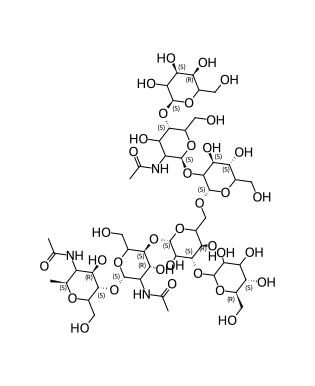 CC(=O)NC1C(O)[C@H](O[C@@H]2OC(CO)[C@H](O)[C@H](O)C2O)C(CO)O[C@H]1OC1[C@@H](OCC2O[C@@H](O[C@@H]3C(CO)O[C@@H](O[C@@H]4C(CO)O[C@@H](C)C(NC(C)=O)[C@H]4O)C(NC(C)=O)[C@H]3O)C(O)[C@@H](OC3O[C@H](CO)[C@@H](O)C(O)C3O)[C@@H]2O)OC(CO)[C@@H](O)[C@@H]1O